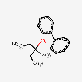 O=C(O)CC(O)(CC(=O)O)C(=O)O.c1ccc(-c2ccccc2)cc1